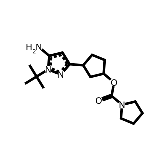 CC(C)(C)n1nc(C2CCC(OC(=O)N3CCCC3)C2)cc1N